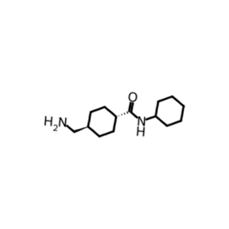 NC[C@H]1CC[C@H](C(=O)NC2CCCCC2)CC1